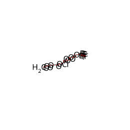 C=CC(=O)OCCC(=O)OCCCCCCC(=O)OCC#Cc1ccc(C(=O)Oc2ccc(OC(=O)C3CCC(OCCCCC(F)(F)C(F)(F)C(F)(F)C(F)(F)F)CC3)cc2)cc1Cl